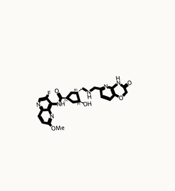 COc1ccc2ncc(F)c(NC(=O)[C@H]3C[C@H](CNCc4ccc5c(n4)NC(=O)CO5)[C@H](O)C3)c2n1